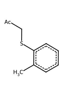 CC(=O)CSc1ccccc1C